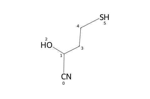 N#CC(O)CCS